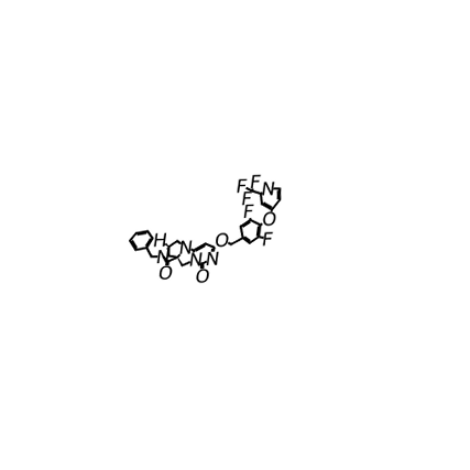 O=C1N(Cc2ccccc2)[C@@H]2CN3c4cc(OCc5cc(F)c(Oc6ccnc(C(F)(F)F)c6)c(F)c5)nc(=O)n4C[C@]13C2